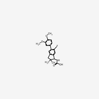 COc1ccc(-c2cc3c(cc2F)C(NC(=O)O)C(C)(C)C3)cc1OC